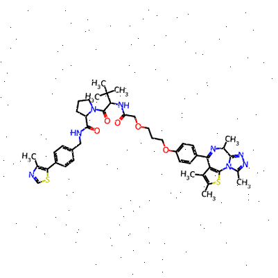 Cc1ncsc1-c1ccc(CNC(=O)C2CCCN2C(=O)C(NC(=O)COCCCOc2ccc(C3=NC(C)c4nnc(C)n4-c4sc(C)c(C)c43)cc2)C(C)(C)C)cc1